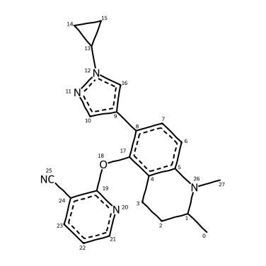 CC1CCc2c(ccc(-c3cnn(C4CC4)c3)c2Oc2ncccc2C#N)N1C